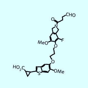 COc1cc2sc(C3CC3C(=O)O)cc2cc1OCCCOc1c(OC)cc2c(c1F)CN(C(=O)CCC=O)C2